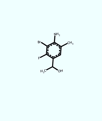 Cc1cc(C(C)O)c(F)c(Br)c1N